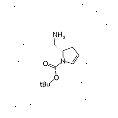 CC(C)(C)OC(=O)N1C=CC[C@H]1CN